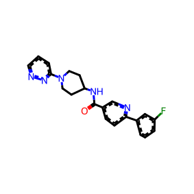 O=C(NC1CCN(c2cccnn2)CC1)c1ccc(-c2cccc(F)c2)nc1